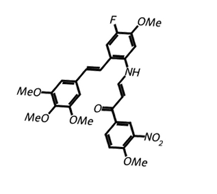 COc1cc(NC=CC(=O)c2ccc(OC)c([N+](=O)[O-])c2)c(C=Cc2cc(OC)c(OC)c(OC)c2)cc1F